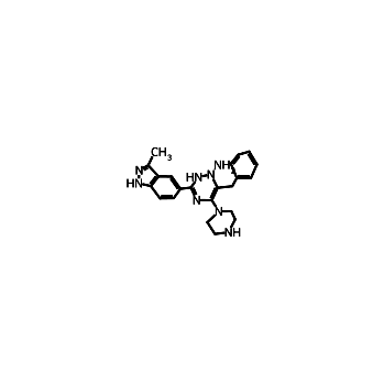 Cc1n[nH]c2ccc(C3=NC(N4CCNCC4)=C(Cc4ccccc4)N(N)N3)cc12